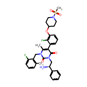 Cc1c(-c2cccc(OC3CCN(S(C)(=O)=O)CC3)c2F)c(=O)n(C[C@H](N)c2ccccc2)c(=O)n1Cc1c(F)cccc1C(F)(F)F